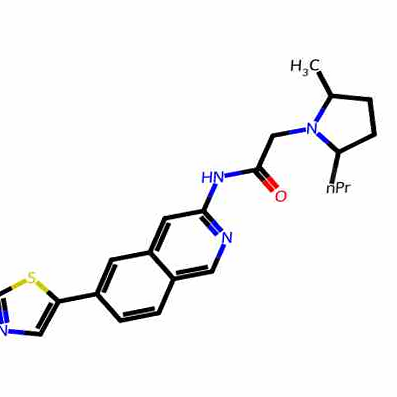 CCCC1CCC(C)N1CC(=O)Nc1cc2cc(-c3cncs3)ccc2cn1